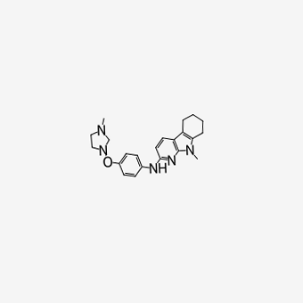 CN1CCN(Oc2ccc(Nc3ccc4c5c(n(C)c4n3)CCCC5)cc2)C1